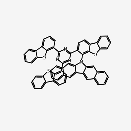 c1ccc2cc3c(cc2c1)c1cc2ccccc2cc1n3-c1c(-c2nc(-c3cccc4c3oc3ccccc34)nc(-c3cccc4c3sc3ccccc34)n2)ccc2c1oc1ccccc12